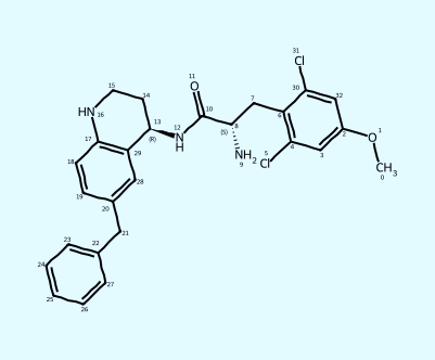 COc1cc(Cl)c(C[C@H](N)C(=O)N[C@@H]2CCNc3ccc(Cc4ccccc4)cc32)c(Cl)c1